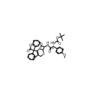 COc1ccc([C@@H](NC(=O)OC(C)(C)C)C(=O)NC2C(=O)N3C(C(C(=O)O)(c4ccccc4)c4ccccc4)=C(Cl)CSC23)cc1